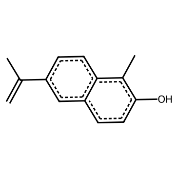 C=C(C)c1ccc2c(C)c(O)ccc2c1